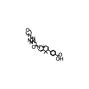 CC1(C)C(c2ccc(C(=O)O)cc2)=CC[C@]2(C)CN(C(=O)Cn3nnc(N4CCOCC4)n3)CC=C12